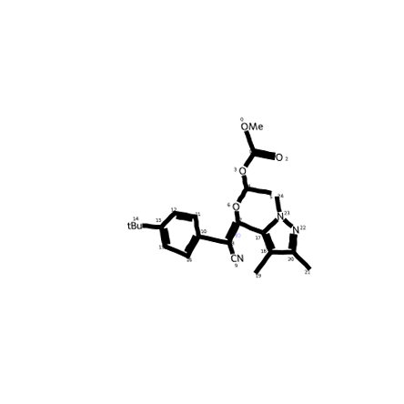 COC(=O)OC(C)O/C(=C(/C#N)c1ccc(C(C)(C)C)cc1)c1c(C)c(C)nn1C